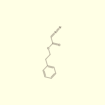 [N-]=[N+]=CC(=O)OCCc1ccccc1